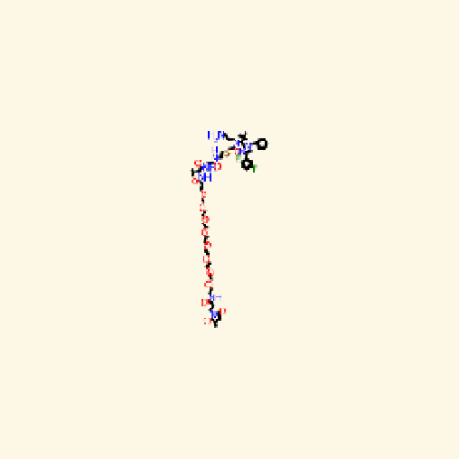 CC1CC(=O)N(CCC(=O)NCCOCCOCCOCCOCCOCCOCCOCCOCCC(=O)NC(C(=O)NCC(=O)NCCSCC(=O)N(CCCN)[C@@H](c2nc(-c3cc(F)ccc3F)cn2Cc2ccccc2)C(C)(C)C)C(C)C)C1=O